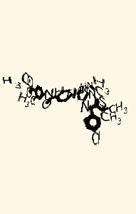 COC(=O)c1ccc(NC(=O)C2CCN(C(=O)C[C@@H]3N=C(c4ccc(Cl)cc4)c4c(sc(C)c4C)N(C(C)=N)C3=N)CC2)cc1C